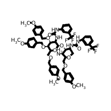 COc1ccc(COCC2O[C@@H](O[C@@H]3C(NC(=O)Nc4cccc(C(F)(F)F)c4)COC(COCc4ccc(OC)cc4)[C@@H]3N)C(NC(=O)Nc3cccc(C(F)(F)F)c3)[C@@H](OCc3ccc(OC)cc3)[C@@H]2OCc2ccc(OC)cc2)cc1